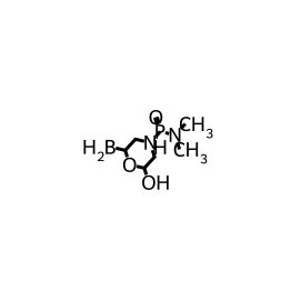 BC1CN([PH](=O)N(C)C)CC(O)O1